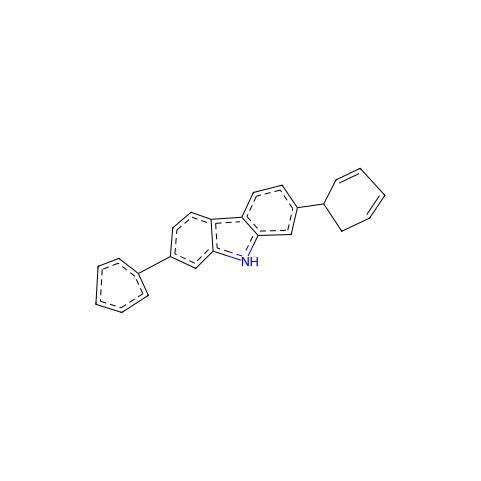 C1=CCC(c2ccc3c(c2)[nH]c2cc(-c4ccccc4)ccc23)C=C1